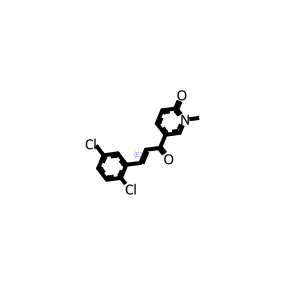 Cn1cc(C(=O)/C=C/c2cc(Cl)ccc2Cl)ccc1=O